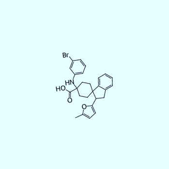 Cc1ccc(C2Cc3ccccc3C23CCC(Nc2cccc(Br)c2)(C(=O)O)CC3)o1